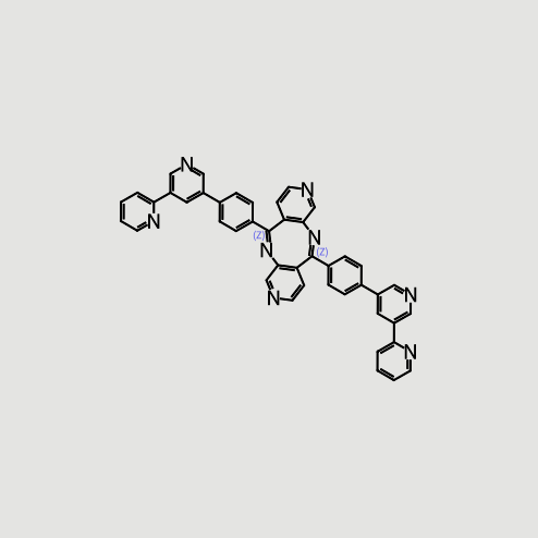 c1ccc(-c2cncc(-c3ccc(/C4=N/c5cnccc5/C(c5ccc(-c6cncc(-c7ccccn7)c6)cc5)=N\c5cnccc54)cc3)c2)nc1